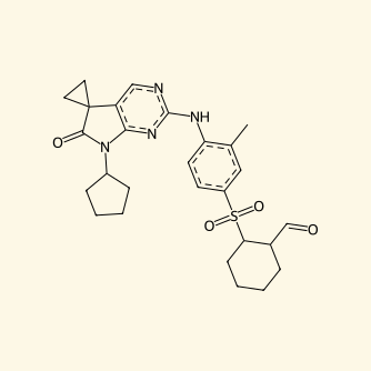 Cc1cc(S(=O)(=O)C2CCCCC2C=O)ccc1Nc1ncc2c(n1)N(C1CCCC1)C(=O)C21CC1